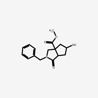 COC(=O)C12CC(O)CC1C(=O)N(Cc1ccccc1)C2